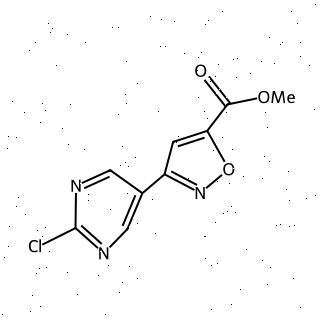 COC(=O)c1cc(-c2cnc(Cl)nc2)no1